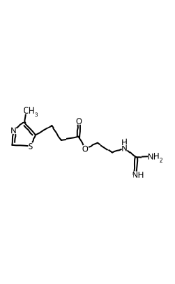 Cc1ncsc1CCC(=O)OCCNC(=N)N